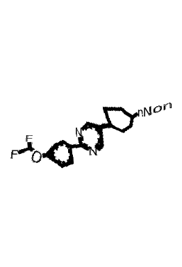 CCCCCCCCCC1CCC(c2cnc(-c3ccc(OC(F)F)cc3)nc2)CC1